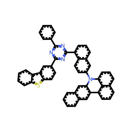 c1ccc(-c2nc(-c3ccc4sc5ccccc5c4c3)nc(-c3cccc4cc(N5c6cc7ccccc7cc6-c6cccc7cccc5c67)ccc34)n2)cc1